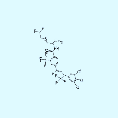 CC(CSCC(F)F)NC(=O)c1ccc(/C(F)=C/C(c2cc(Cl)c(Cl)c(Cl)c2)C(F)(F)F)cc1C(F)(F)F